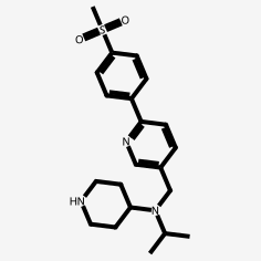 CC(C)N(Cc1ccc(-c2ccc(S(C)(=O)=O)cc2)nc1)C1CCNCC1